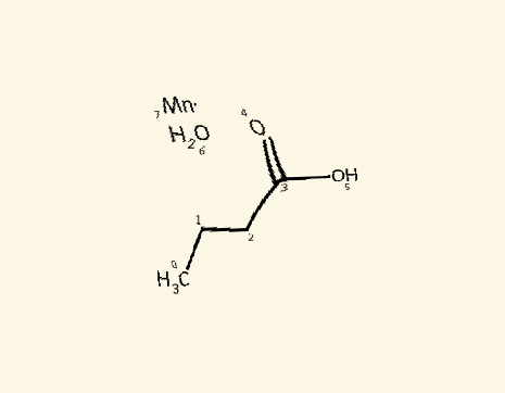 CCCC(=O)O.O.[Mn]